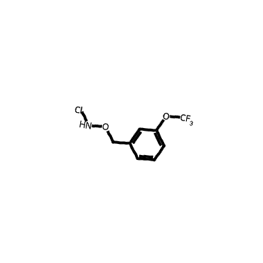 FC(F)(F)Oc1cccc(CONCl)c1